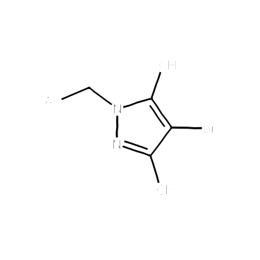 CC(=O)Cn1nc(C)c(Br)c1C